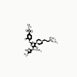 COc1c(Nc2cc(C)[nH]n2)nc(Sc2ccc(S(C)(=O)=O)cc2Cl)nc1N1CCN(CCN(C)C)CC1